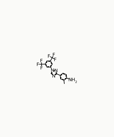 Cc1cc(-c2ncn(-c3cc(C(F)(F)F)cc(C(F)(F)F)c3)n2)ccc1N